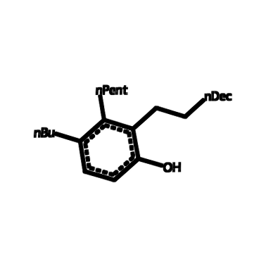 CCCCCCCCCCCCc1c(O)ccc(CCCC)c1CCCCC